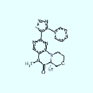 CC[C@@]12COCCN1c1nc(-c3snnc3-c3ccccc3)ncc1N(C)C2=O